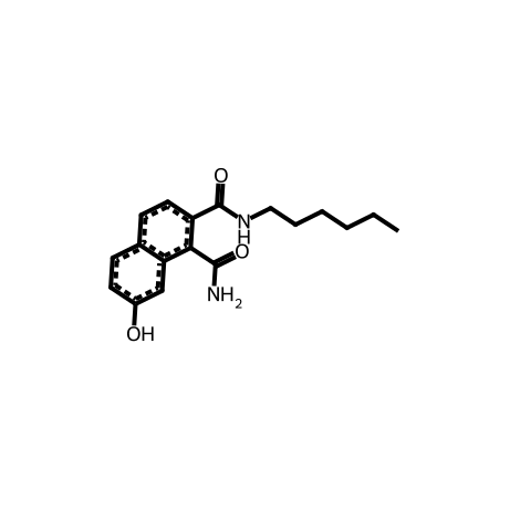 CCCCCCNC(=O)c1ccc2ccc(O)cc2c1C(N)=O